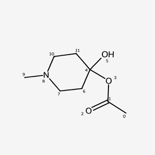 CC(=O)OC1(O)CCN(C)CC1